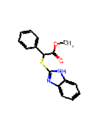 COC(=O)C(Sc1nc2ccccc2[nH]1)c1ccccc1